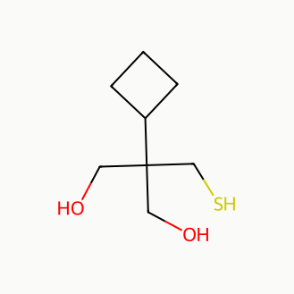 OCC(CO)(CS)C1CCC1